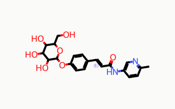 Cc1ccc(NC(=O)/C=C/c2ccc(OC3OC(CO)C(O)C(O)C3O)cc2)cn1